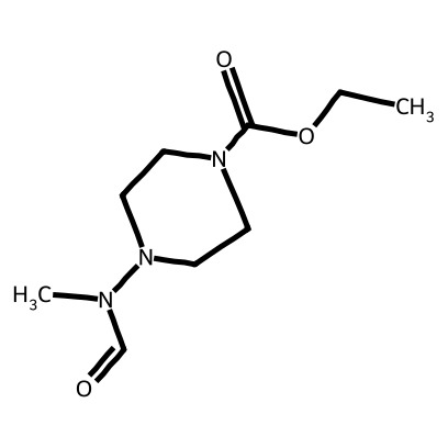 CCOC(=O)N1CCN(N(C)C=O)CC1